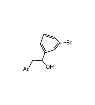 CC(=O)CC(O)c1cccc(Br)c1